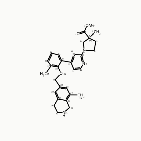 COC(=O)[C@]1(C)CCN(c2nccc(-c3cccc(C)c3OCc3cc(C)c4c(c3)CCNC4)n2)C1